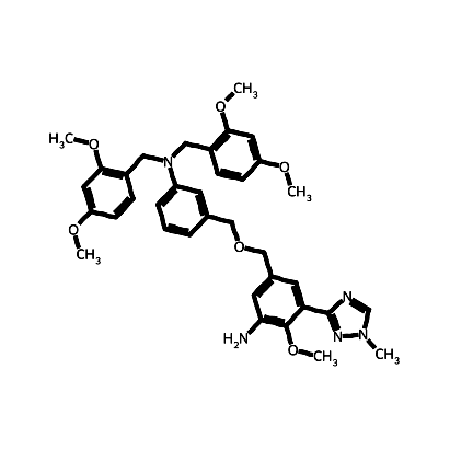 COc1ccc(CN(Cc2ccc(OC)cc2OC)c2cccc(COCc3cc(N)c(OC)c(-c4ncn(C)n4)c3)c2)c(OC)c1